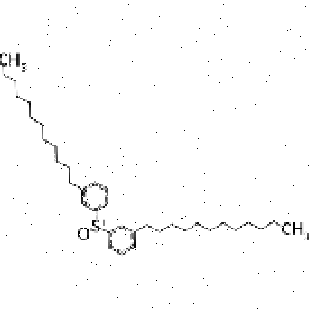 CCCCCCCCCCCCc1cccc([S+]([O-])c2cccc(CCCCCCCCCCCC)c2)c1